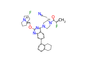 C=C(F)C(=O)N1CCN(c2nc(OC[C@@]34CCCN3C[C@H](F)C4)nc3cc(-c4cccc5c4CCCC5)ccc23)C[C@@H]1CC#N